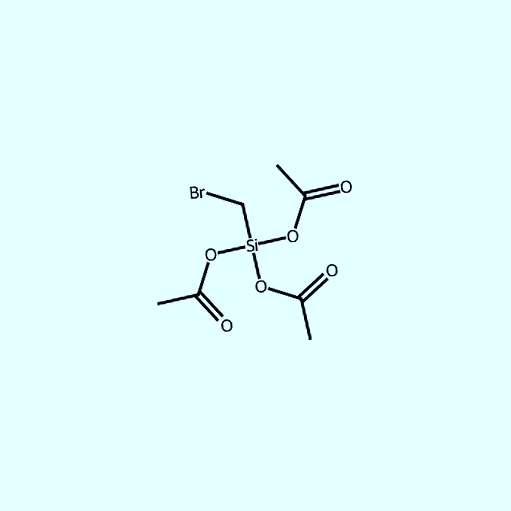 CC(=O)O[Si](CBr)(OC(C)=O)OC(C)=O